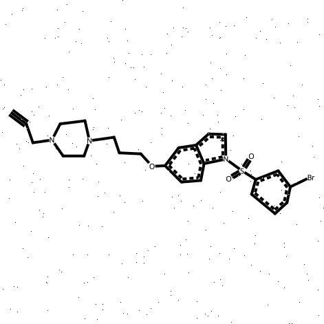 C#CCN1CCN(CCCOc2ccc3c(ccn3S(=O)(=O)c3cccc(Br)c3)c2)CC1